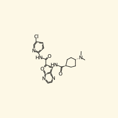 CN(C)[C@H]1CC[C@H](C(=O)Nc2c(C(=O)Nc3ccc(Cl)cn3)oc3nccnc23)CC1